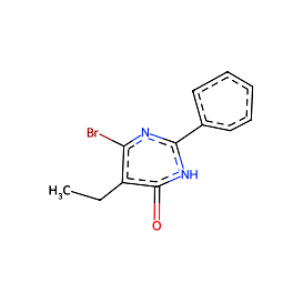 CCc1c(Br)nc(-c2ccccc2)[nH]c1=O